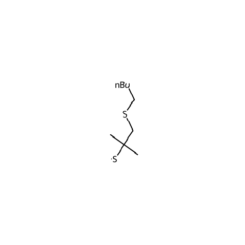 CCCCCSCC(C)(C)[S]